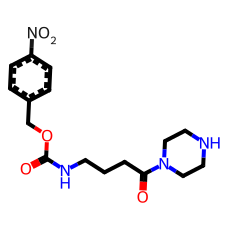 O=C(NCCCC(=O)N1CCNCC1)OCc1ccc([N+](=O)[O-])cc1